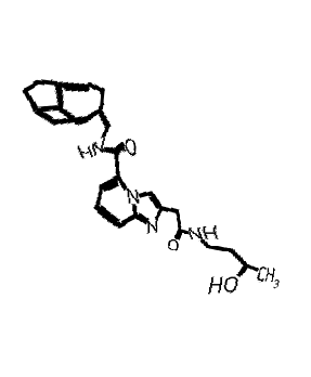 CC(O)CCNC(=O)Cc1cn2c(C(=O)NCC34CC=C5CCC(C3)C5C4)cccc2n1